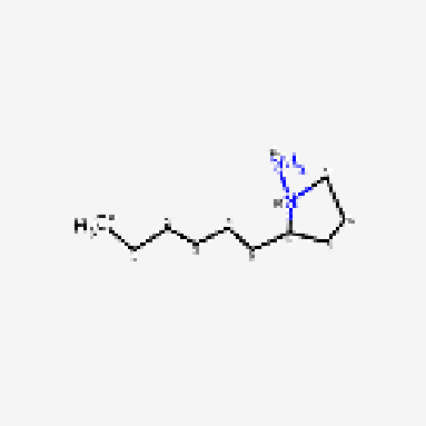 CCCCCCC1CCCN1N